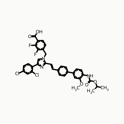 COc1cc(-c2ccc(/C=C/c3nc(-c4ccc(Cl)cc4Cl)cn3Cc3ccc(C(=O)O)c(F)c3F)cc2)ccc1NC(=O)OC(C)C